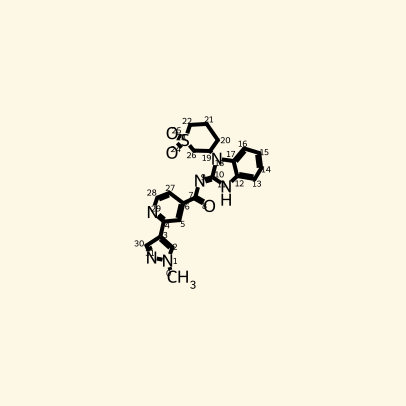 Cn1cc(-c2cc(C(=O)/N=c3\[nH]c4ccccc4n3C3CCCS(=O)(=O)C3)ccn2)cn1